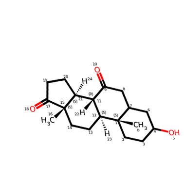 C[C@]12CCC(O)CC1CC(=O)[C@@H]1[C@@H]2CC[C@]2(C)C(=O)CC[C@@H]12